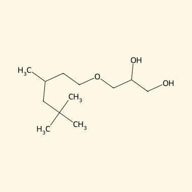 CC(CCOCC(O)CO)CC(C)(C)C